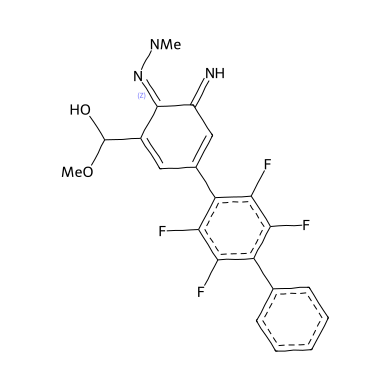 CN/N=C1\C(=N)C=C(c2c(F)c(F)c(-c3ccccc3)c(F)c2F)C=C1C(O)OC